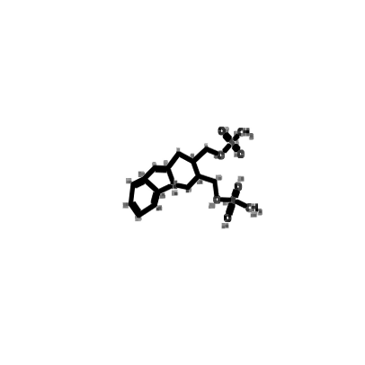 CS(=O)(=O)OCC1Cc2cc3ccccc3n2CC1COS(C)(=O)=O